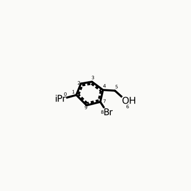 CC(C)c1ccc(CO)c(Br)c1